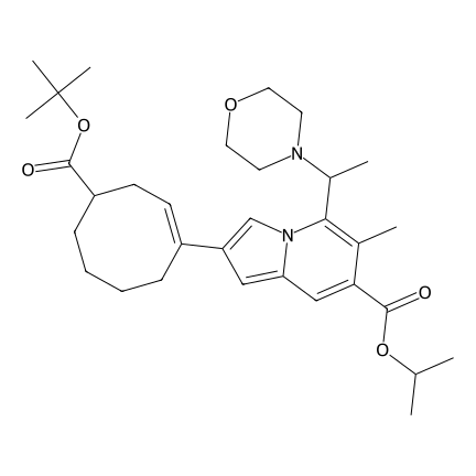 Cc1c(C(=O)OC(C)C)cc2cc(/C3=C/CC(C(=O)OC(C)(C)C)CCCC3)cn2c1C(C)N1CCOCC1